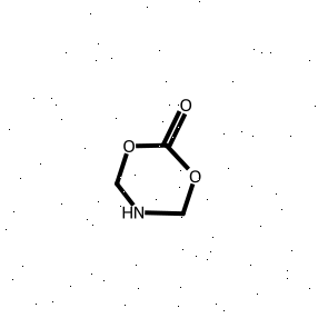 O=C1OCNCO1